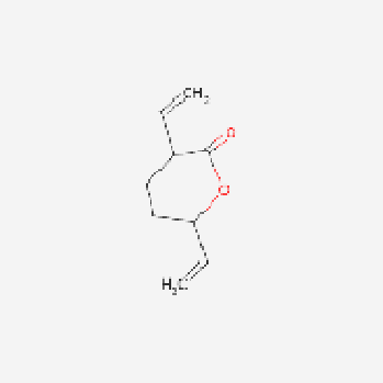 C=CC1CCC(C=C)C(=O)O1